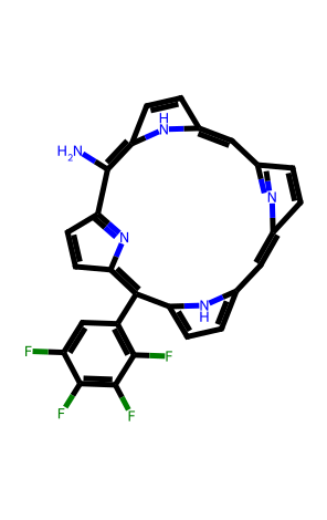 Nc1c2nc(c(-c3cc(F)c(F)c(F)c3F)c3ccc(cc4nc(cc5ccc1[nH]5)C=C4)[nH]3)C=C2